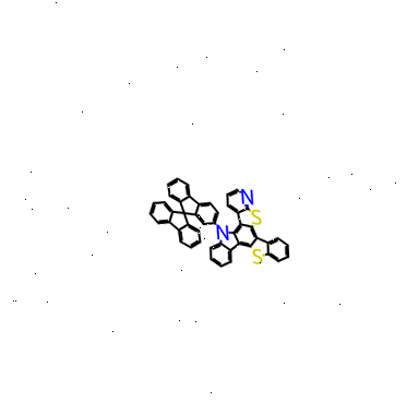 c1ccc2c(c1)-c1ccccc1C21c2ccccc2-c2ccc(-n3c4ccccc4c4c5sc6ccccc6c5c5sc6ncccc6c5c43)cc21